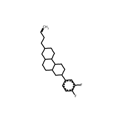 C=CCCC1CCC2C(CCC3CC(c4ccc(F)c(F)c4)CCC32)C1